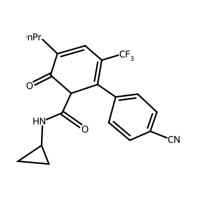 CC[CH]C1=CC(C(F)(F)F)=C(c2ccc(C#N)cc2)C(C(=O)NC2CC2)C1=O